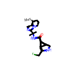 CSc1cccn2c(C(C)(C)NC(=O)C3C4CNC(CF)C43)ncc12